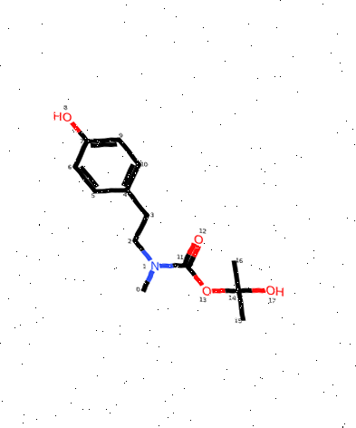 CN(CCc1ccc(O)cc1)C(=O)OC(C)(C)O